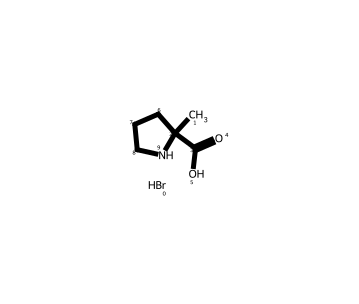 Br.CC1(C(=O)O)CCCN1